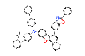 CC1(C)c2ccccc2-c2ccc(N(c3ccc(-c4ccccc4)cc3)c3ccc4c(c3)oc3c5ccccc5cc(-c5ccc6nc(-c7ccccc7)oc6c5)c43)cc21